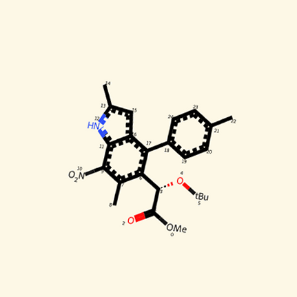 COC(=O)[C@@H](OC(C)(C)C)c1c(C)c([N+](=O)[O-])c2[nH]c(C)cc2c1-c1ccc(C)cc1